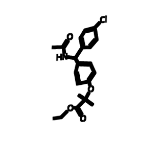 CCOC(=O)C(C)(C)Oc1ccc(C(NC(C)=O)c2ccc(Cl)cc2)cc1